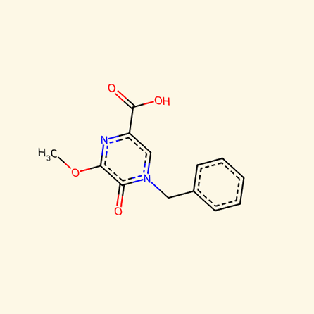 COc1nc(C(=O)O)cn(Cc2ccccc2)c1=O